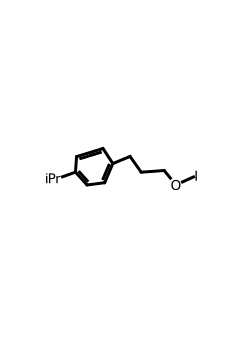 CC(C)c1ccc(CCCOI)cc1